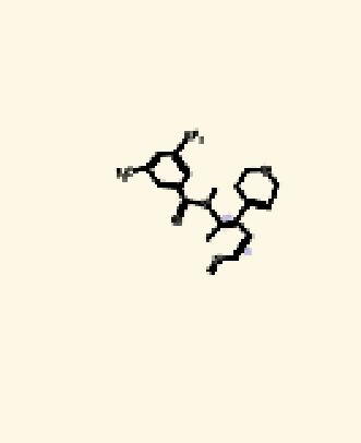 C=N/C=C\C(C1=CCOCC1)=C(/C)N(C)C(=O)c1cc(C(F)(F)F)cc(C(F)(F)F)c1